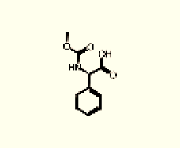 COC(=O)N[C@@H](C(=O)O)C1=CC=CCC1